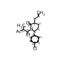 C=CCC1CC[C@@H](c2ccc(Cl)cc2)N([C@@H](CC)C(C)C(C)=O)C1=O